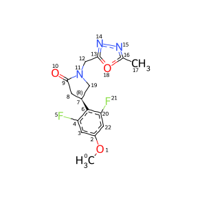 COc1cc(F)c([C@H]2CC(=O)N(Cc3nnc(C)o3)C2)c(F)c1